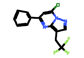 FC(F)(F)Cc1cnn2c(Cl)cc(-c3ccccc3)nc12